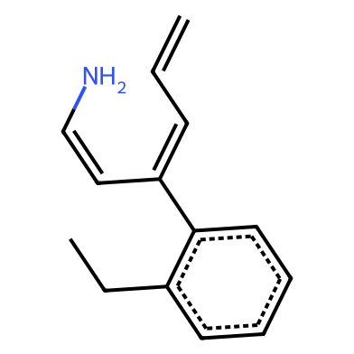 C=C/C=C(\C=C/N)c1ccccc1CC